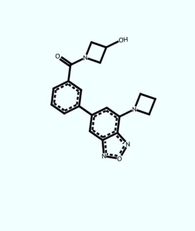 O=C(c1cccc(-c2cc(N3CCC3)c3nonc3c2)c1)N1CC(O)C1